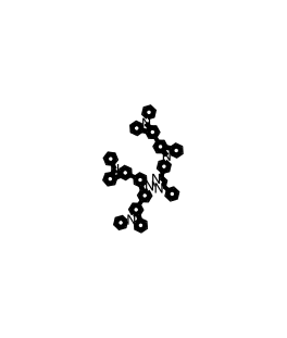 c1ccc(-c2cc(-c3ccc(-n4c5ccccc5c5cc(-c6ccc7c(c6)c6ccccc6n7-c6ccccc6)ccc54)cc3)nc(-n3c4ccc(-c5ccc6c(c5)c5ccccc5n6-c5ccccc5)cc4c4cc(-c5ccc6c(c5)c5ccccc5n6-c5ccccc5)ccc43)n2)cc1